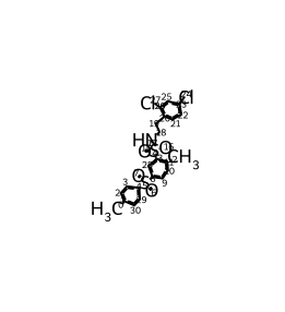 Cc1ccc(S(=O)(=O)c2ccc(C)c(S(=O)(=O)NCCc3ccc(Cl)cc3Cl)c2)cc1